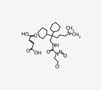 CN(C)CCCC(CNC(=O)N(CCCl)N=O)(C1CCCCC1)C1CCCCC1.O=C(O)C=CC(=O)O